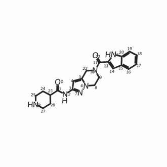 O=C(Nc1cc2n(n1)CCN(C(=O)c1cc3ccccc3[nH]1)C2)C1CCNCC1